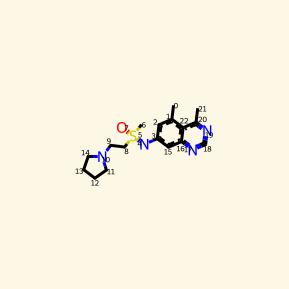 Cc1cc(N=S(C)(=O)CCN2CCCC2)cc2ncnc(C)c12